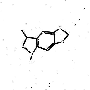 CC1OB(O)c2cc3c(cc21)OCO3